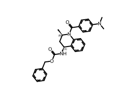 C[C@@H]1C[C@H](NC(=O)OCc2ccccc2)c2ccccc2N1C(=O)c1ccc(N(C)C)cc1